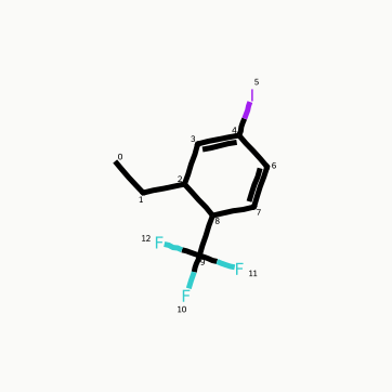 CCC1C=C(I)C=CC1C(F)(F)F